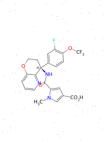 Cn1cc(C(=O)O)cc1C(=O)N[C@]1(c2ccc(OC(F)(F)F)c(F)c2)CCOc2cccnc21